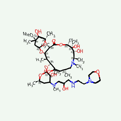 CC[C@H]1OC(=O)[C@H](C)[C@@H](O[C@H]2C[C@@](C)(OC)[C@@H](O)[C@H](C)O2)[C@H](C)[C@@H](O[C@@H]2O[C@H](C)CC(N(C)CC(O)CNCCN3CCOCC3)[C@H]2O)[C@](C)(O)C[C@@H](C)CN(C)[C@H](C)[C@@H](O)[C@]1(C)O